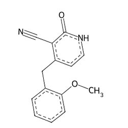 COc1ccccc1Cc1cc[nH]c(=O)c1C#N